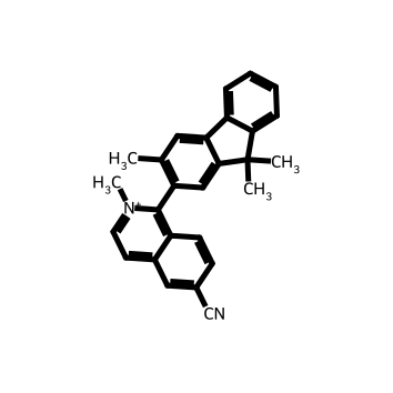 Cc1cc2c(cc1-c1c3ccc(C#N)cc3cc[n+]1C)C(C)(C)c1ccccc1-2